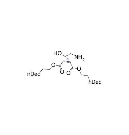 CCCCCCCCCCCCOC(=O)/C=C\C(=O)OCCCCCCCCCCCC.NCCO